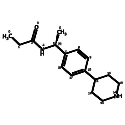 CCC(=O)N[C@@H](C)c1ccc(C2CCNCC2)cc1